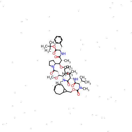 CC[C@H](C)[C@@H]([C@@H](CC(=O)N1CCC[C@H]1[C@H](OC)[C@@H](C)C(=O)N[C@@H](Cc1ccccc1)C(=O)OC(C)(C)C)OC)N(C)C(=O)[C@@H](NC(=O)[C@H](C(C)C)N(C)C(=O)OCC1C2CC/C=C\CCC21)C(C)C